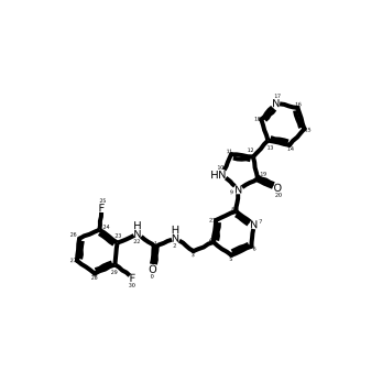 O=C(NCc1ccnc(-n2[nH]cc(-c3cccnc3)c2=O)c1)Nc1c(F)cccc1F